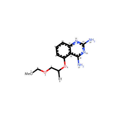 CCC(COCOC)Oc1cccc2nc(N)nc(N)c12